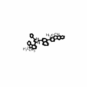 CC1(C)c2cc(-c3ccc(-c4nc(-c5ccccc5)cc(-c5cccc6c5-c5ccccc5C6(C)C)n4)c4ccccc34)ccc2-c2cc3ccccc3cc21